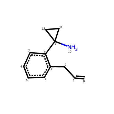 C=CCc1ccccc1C1(N)CC1